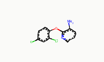 Nc1cccnc1Oc1ccc(Cl)cc1Cl